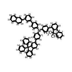 CC1(C)c2ccccc2-c2cccc(-c3ccc(N(c4ccc(-c5cccc(-c6ccc7ccccc7c6)c5)cc4)c4ccc(-c5ccc6c(c5)C(c5ccccc5)(c5ccccc5)c5ccccc5-6)cc4)cc3)c21